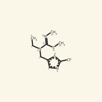 CCN(Cc1cnc(Cl)s1)/C(=N/C)SC